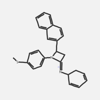 CSc1ccc(N2/C(=N/C3C=CC=CC3)CC2c2ccc3ccccc3c2)cc1